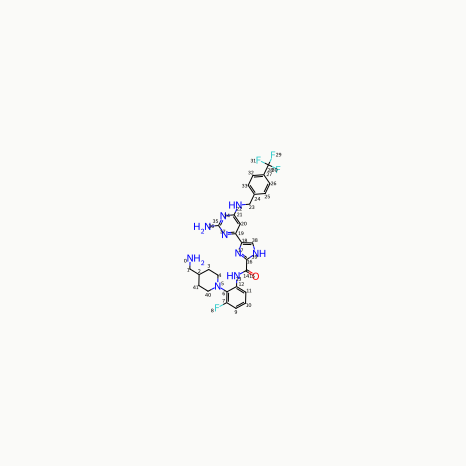 NCC1CCN(c2c(F)cccc2NC(=O)c2nc(-c3cc(NCc4ccc(C(F)(F)F)cc4)nc(N)n3)c[nH]2)CC1